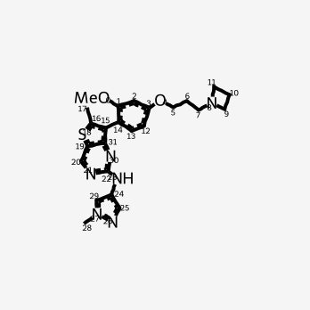 COc1cc(OCCCN2CCC2)ccc1-c1c(C)sc2cnc(Nc3cnn(C)c3)nc12